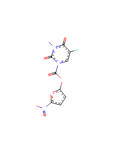 Cn1c(=O)c(F)cn(C(=O)Oc2ccc([N+](=O)[O-])o2)c1=O